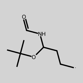 [CH2]CCC(NC=O)OC(C)(C)C